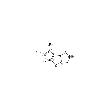 Brc1sc2c(c1Br)C1CNCC1C2